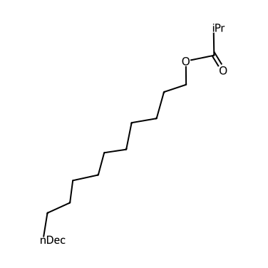 CCCCCCCCCCCCCCCCCCCCOC(=O)C(C)C